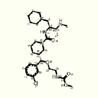 CN[C@H](C)[C@H](CC1CCCCC1)NC(=O)N1CCC[C@@H](C(OCCNC(=O)OC)c2cccc(Cl)c2)C1